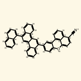 N#Cc1ccc2c3c(cccc13)-c1cc(-c3cc4c5ccccc5c(-c5cccc6ccccc56)cc4c4ccccc34)ccc1O2